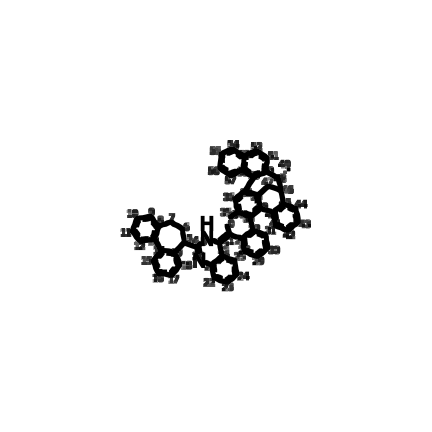 C/C(=C1\NC(C2CCc3ccccc3-c3ccccc32)=Nc2ccccc21)c1ccccc1-c1c(C)cc2c3c1-c1ccccc1C(C3)[C@@H](C)c1ccc3ccccc3c1-2